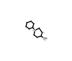 OC1CCN(C2CCCCC2)CC1